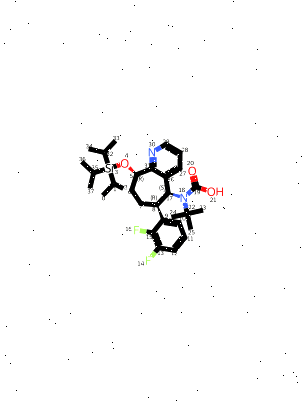 CC(C)[Si](O[C@@H]1CC[C@H](c2cccc(F)c2F)[C@H](N(C(=O)O)C(C)(C)C)c2cccnc21)(C(C)C)C(C)C